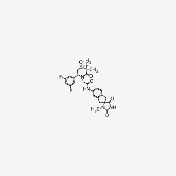 CN1C(=O)NC(=O)C12Cc1ccc(NC(=O)CN3C(=O)C(C)(C)[S+]([O-])CC3c3cc(F)cc(F)c3)cc1C2